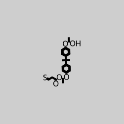 CC(O)Oc1ccc(C(C)(C)c2ccc(OC(C)OC(=O)CC=S)cc2)cc1